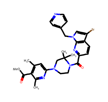 COC(=O)c1c(C)cc(N2CCN(C(=O)c3ccc4c(Br)cn(Cc5ccncc5)c4n3)C(C)(C)C2)nc1C